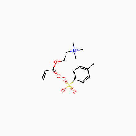 C=CC(=O)OCC[N+](C)(C)C.Cc1ccc(S(=O)(=O)[O-])cc1